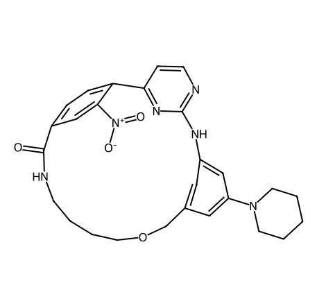 O=C1NCCCCOCc2cc(cc(N3CCCCC3)c2)Nc2nccc(n2)-c2ccc1cc2[N+](=O)[O-]